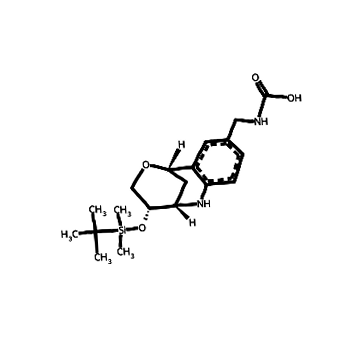 CC(C)(C)[Si](C)(C)O[C@@H]1CO[C@H]2C[C@@H]1Nc1ccc(CNC(=O)O)cc12